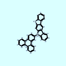 c1ccc2c(c1)sc1cc3c(cc12)c1ccccc1n3-c1ccc2c3ccccc3c3ccccc3c2c1